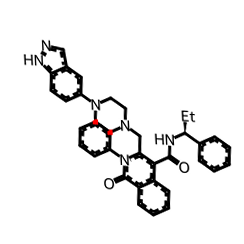 CC[C@H](NC(=O)c1c(CN2CCN(c3ccc4[nH]ncc4c3)CC2)n(-c2ccccc2)c(=O)c2ccccc12)c1ccccc1